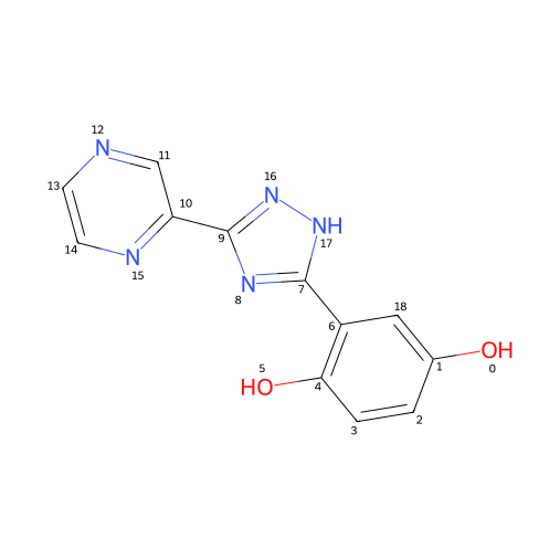 Oc1ccc(O)c(-c2nc(-c3cnccn3)n[nH]2)c1